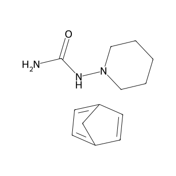 C1=CC2=CC=C1C2.NC(=O)NN1CCCCC1